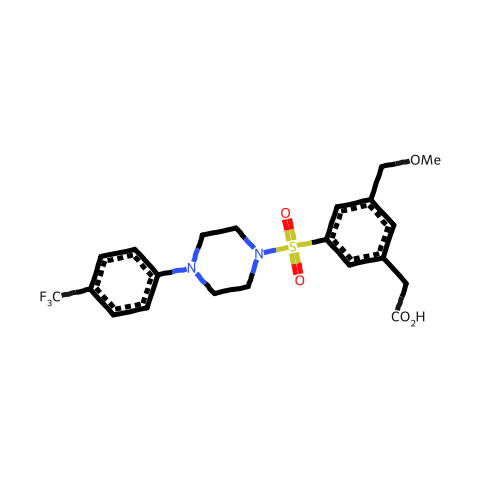 COCc1cc(CC(=O)O)cc(S(=O)(=O)N2CCN(c3ccc(C(F)(F)F)cc3)CC2)c1